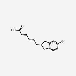 O=C(O)C=CC=CCC1Cc2ccc(Br)cc2C1